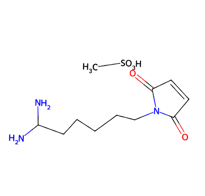 CS(=O)(=O)O.NC(N)CCCCCN1C(=O)C=CC1=O